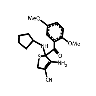 COc1ccc(OC)c(C(=O)C2(NC3CCCC3)SCC(C#N)=C2N)c1